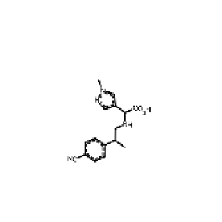 CC(CNC(C(=O)O)c1cnn(C)c1)c1ccc(C#N)cc1